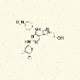 Cc1cc(Nc2ncc(-c3cnn(CCO)c3)c(N[C@H]3CC[C@@H](N)CC3)n2)ccc1Cl